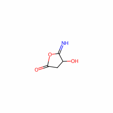 N=C1OC(=O)CC1O